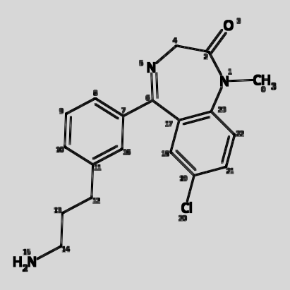 CN1C(=O)CN=C(c2cccc(CCCN)c2)c2cc(Cl)ccc21